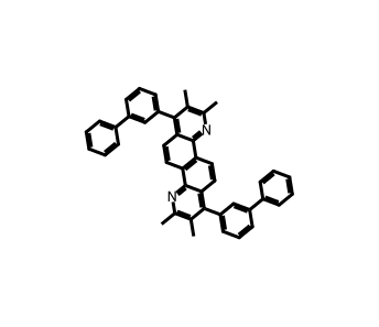 Cc1nc2c(ccc3c2ccc2c(-c4cccc(-c5ccccc5)c4)c(C)c(C)nc23)c(-c2cccc(-c3ccccc3)c2)c1C